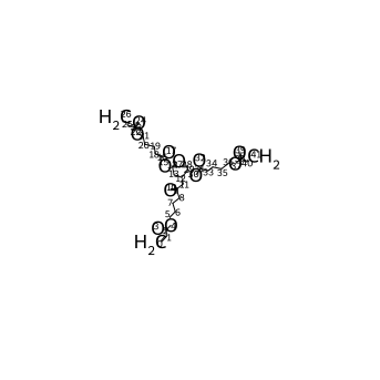 C=CC(=O)OCCCCC(=O)C[C@H]1CC(OC(=O)CCCCOC(=O)C=C)OC[C@H]1OC(=O)CCCCOC(=O)C=C